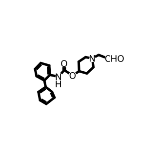 O=CCN1CCC(OC(=O)Nc2ccccc2-c2ccccc2)CC1